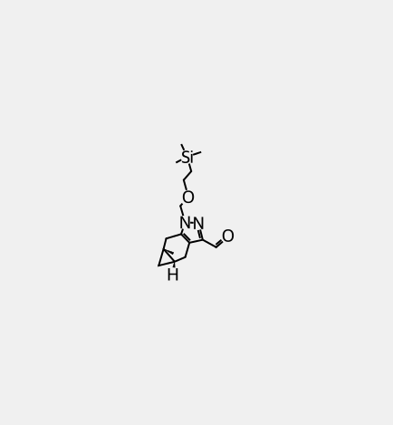 C[C@@]12Cc3c(c(C=O)nn3COCC[Si](C)(C)C)C[C@@H]1C2